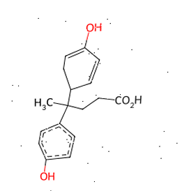 CC(CCC(=O)O)(c1ccc(O)cc1)C1C=CC(O)=CC1